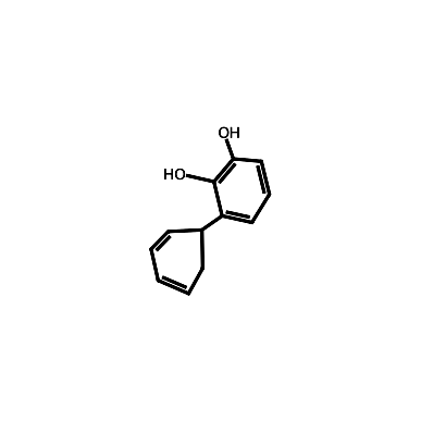 Oc1cccc(C2C=CC=CC2)c1O